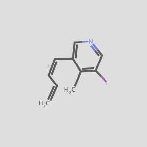 C=C/C=C\c1cncc(I)c1C